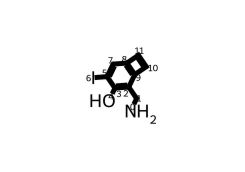 NCc1c(O)c(I)cc2c1C=C2